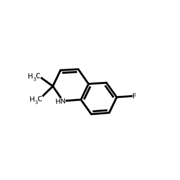 CC1(C)C=Cc2cc(F)ccc2N1